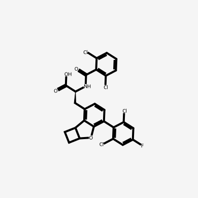 O=C(N[C@@H](Cc1ccc(-c2c(Cl)cc(F)cc2Cl)c2c1C1CCC1O2)C(=O)O)c1c(Cl)cccc1Cl